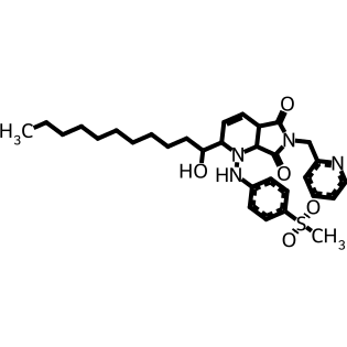 CCCCCCCCCCC(O)C1C=CC2C(=O)N(Cc3ccccn3)C(=O)C2N1Nc1ccc(S(C)(=O)=O)cc1